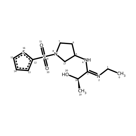 CC/N=C(\NC1CCN(S(=O)(=O)c2cccs2)C1)[C@@H](C)O